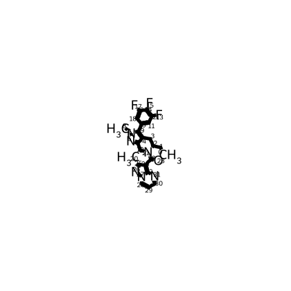 CCC1Cc2c(nn(C)c2-c2cc(F)c(F)c(F)c2)C(C)N1C(=O)c1cnn2cccnc12